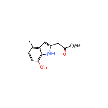 COC(=O)Cc1cc2c(C)ccc(O)c2[nH]1